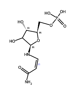 NC(=O)/C=C\N[C@@H]1O[C@H](COP(=O)(O)O)[C@@H](O)C1O